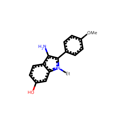 CCn1c(-c2ccc(OC)cc2)c(N)c2ccc(O)cc21